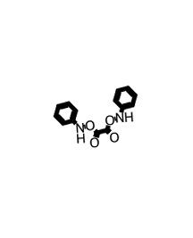 O=C(ONc1ccccc1)C(=O)ONc1ccccc1